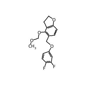 COCOc1c(COc2ccc(F)c(F)c2)ccc2c1CCO2